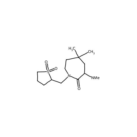 CNC1CC(C)(C)CCN(CC2CCCS2(=O)=O)C1=O